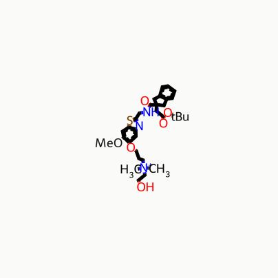 COc1cc2sc(CNC(=O)C3(CC(=O)OC(C)(C)C)Cc4ccccc4C3)nc2cc1OCCC[N+](C)(C)CCO